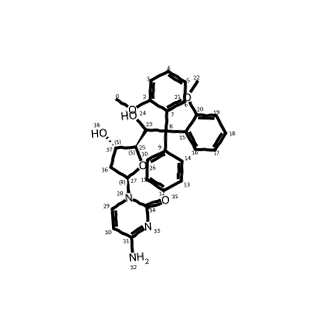 COc1ccccc1C(c1ccccc1)(c1ccccc1OC)C(O)[C@H]1O[C@@H](n2ccc(N)nc2=O)C[C@@H]1O